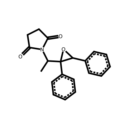 CC(N1C(=O)CCC1=O)C1(c2ccccc2)OC1c1ccccc1